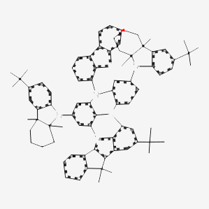 CC(C)(C)c1ccc2c(c1)C1(C)CCCCC1(C)N2c1ccc2c(c1)N(c1cccc3c1sc1ccccc13)c1cc(N3c4ccc(C(C)(C)C)cc4C4(C)CCCCC34C)cc3c1B2c1cc(C(C)(C)C)cc2c4c(n-3c12)-c1ccccc1C4(C)C